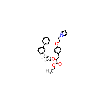 CCOC(=O)C(Cc1ccc(OCCn2cccc2)cc1)OCC.Cc1cccc(-c2ccccc2)c1